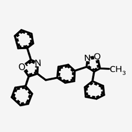 Cc1onc(-c2ccc(Cc3nc(-c4ccccc4)oc3-c3ccccc3)cc2)c1-c1ccccc1